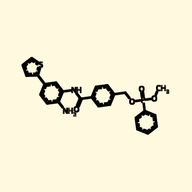 COP(=O)(OCc1ccc(C(=O)Nc2cc(-c3cccs3)ccc2N)cc1)c1ccccc1